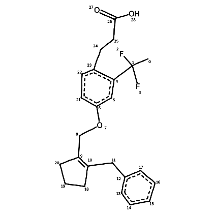 CC(F)(F)c1cc(OCC2=C(Cc3ccccc3)CCC2)ccc1CCC(=O)O